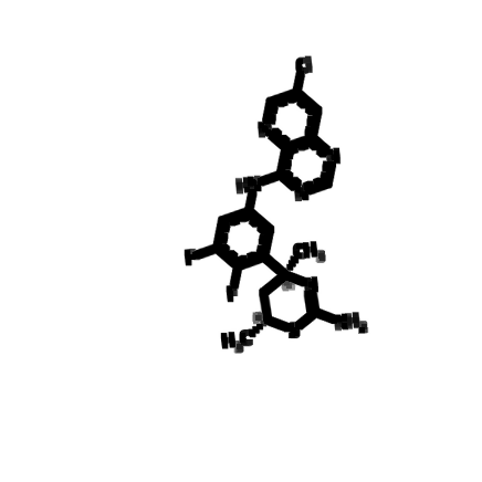 C[C@@H]1C[C@@](C)(c2cc(Nc3ncnc4cc(Cl)cnc34)cc(F)c2F)N=C(N)S1